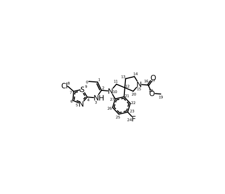 CC=C(Nc1ncc(Cl)s1)N1CC2(CCN(C(=O)OC)C2)c2cc(F)ccc21